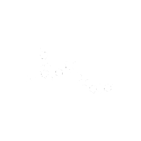 Cc1ccc(Oc2ccc(NC(=O)C(=O)NCC[C@H](NC(=O)c3ccc(Nc4nc(NC5(c6ccc(Cl)cc6)CC5)nc(OCC(F)(F)F)n4)cc3)C(=O)O)cn2)c(Cl)c1